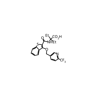 CCC(CC)(NC(=O)c1sc2ccccc2c1OCc1ccc(C(F)(F)F)nc1)C(=O)O